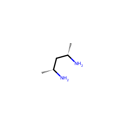 C[C@H](N)C[C@@H](C)N